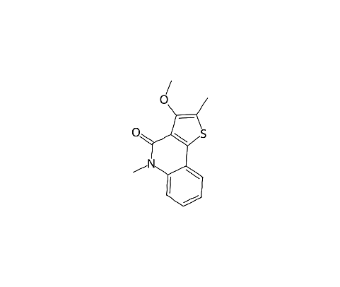 COc1c(C)sc2c1c(=O)n(C)c1ccccc21